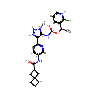 C[C@@H](OC(=O)Nc1c(-c2ccc(NC(=O)C3CC4(CCC4)C3)cn2)nnn1C)c1cccnc1Cl